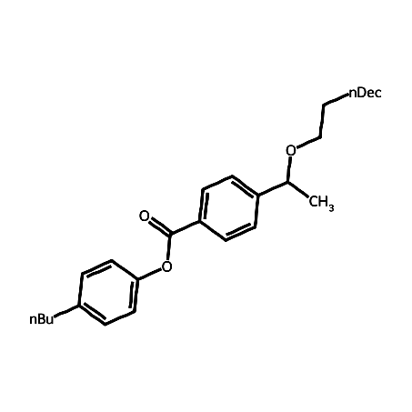 CCCCCCCCCCCCOC(C)c1ccc(C(=O)Oc2ccc(CCCC)cc2)cc1